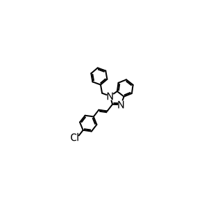 Clc1ccc(/C=C/c2nc3ccccc3n2Cc2ccccc2)cc1